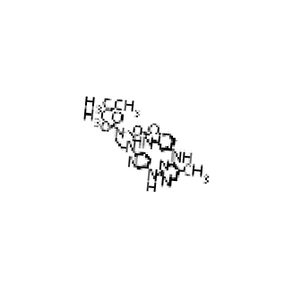 Cc1cnc(Nc2ccc(N3CCN(C(=O)OC(C)(C)C)CC3)nc2)nc1Nc1ccc2oc(=O)[nH]c2c1